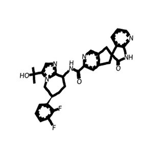 CC(C)(O)c1cnc2n1C[C@H](c1cccc(F)c1F)CCC2NC(=O)c1cc2c(cn1)CC1(C2)C(=O)Nc2ncccc21